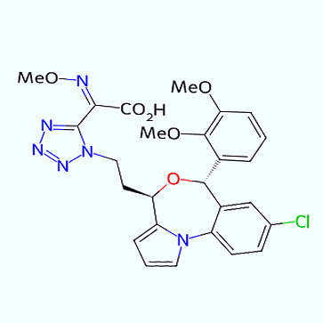 CO/N=C(/C(=O)O)c1nnnn1CC[C@H]1O[C@H](c2cccc(OC)c2OC)c2cc(Cl)ccc2-n2cccc21